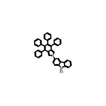 CCn1c2ccccc2c2cc(-n3cc4c(-c5ccccc5)c(-c5ccccc5)c(-c5ccccc5)c(-c5ccccc5)c4c3)ccc21